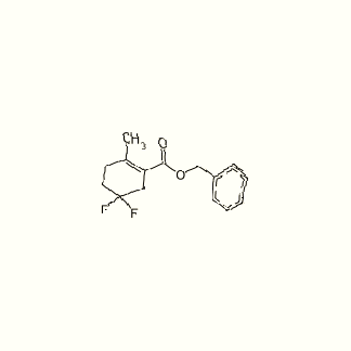 CC1=C(C(=O)OCc2ccccc2)CC(F)(F)CC1